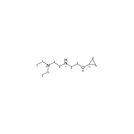 CCN(CC)CCNCCOC1CC1